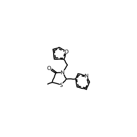 CC1SC(c2cccnc2)N(Cc2ccco2)C1=O